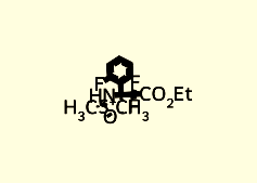 CCOC(=O)C(F)(F)[C@](C)(N[S@@+](C)[O-])c1ccccc1F